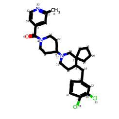 Cc1cc(C(=O)N2CCC(N3CCC(Cc4ccc(Cl)c(Cl)c4)C4(CCCC4)C3)CC2)ccn1